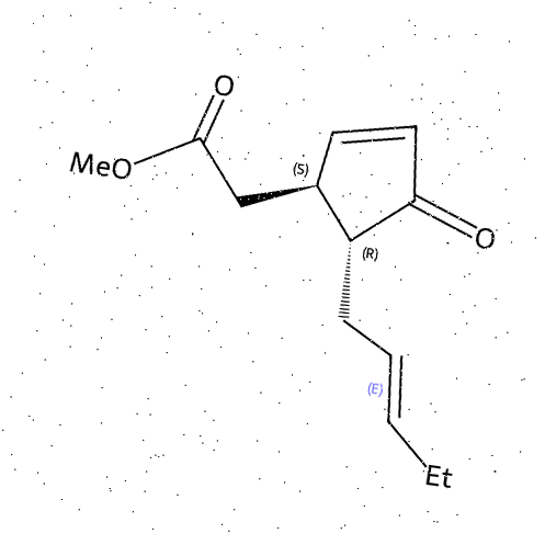 CC/C=C/C[C@H]1C(=O)C=C[C@@H]1CC(=O)OC